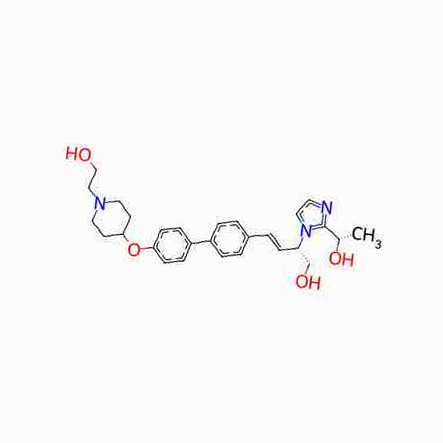 C[C@H](O)c1nccn1[C@@H](/C=C/c1ccc(-c2ccc(OC3CCN(CCO)CC3)cc2)cc1)CO